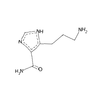 NCCCc1[nH]cnc1C(N)=O